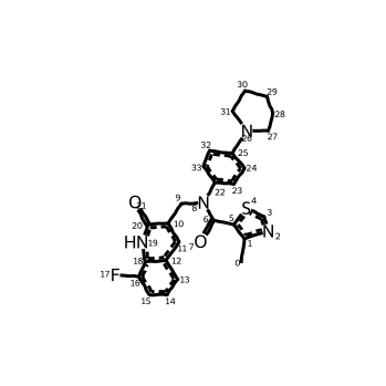 Cc1ncsc1C(=O)N(Cc1cc2cccc(F)c2[nH]c1=O)c1ccc(N2CCCCC2)cc1